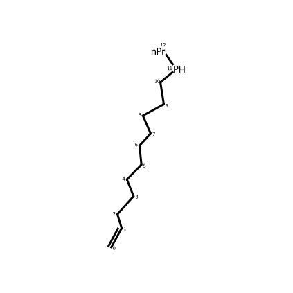 C=CCCCCCCCCCPCCC